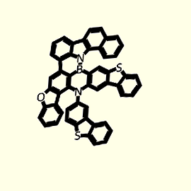 c1ccc2c(c1)ccc1c3cccc4c3n(c21)B1c2cc3sc5ccccc5c3cc2N(c2ccc3sc5ccccc5c3c2)c2c1c-4cc1oc3ccccc3c21